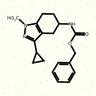 O=C(NC1CCc2c(c(C3CC3)nn2C(=O)O)C1)OCc1ccccc1